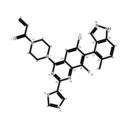 C=CC(=O)N1CCN(c2nc(-c3cncs3)nc3c(F)c(-c4c(C)ccc5[nH]ncc45)c(Cl)cc23)CC1